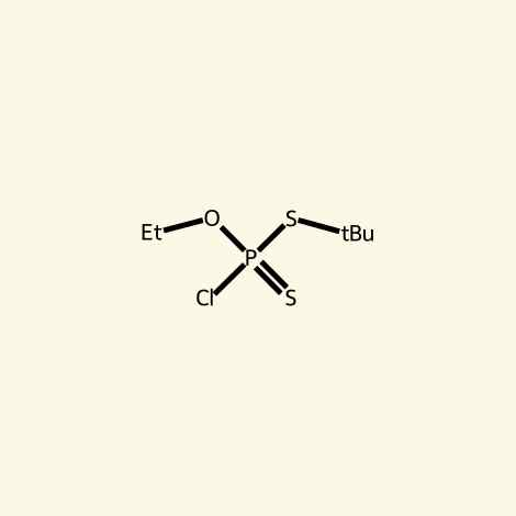 CCOP(=S)(Cl)SC(C)(C)C